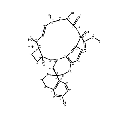 COC(=O)[C@@]1(O)CC(=O)N(C)C[C@@H](C)/C=C/[C@H](O)[C@@H]2CC[C@H]2CN2C[C@@]3(CCCc4cc(Cl)ccc43)COc3ccc1cc32